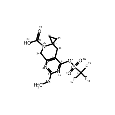 CSc1nc2c(c(OS(=O)(=O)C(F)(F)F)n1)CC1(CC1)N(C(=O)O)C2